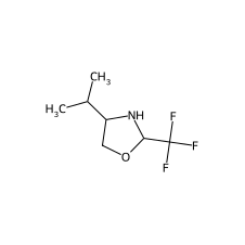 CC(C)C1COC(C(F)(F)F)N1